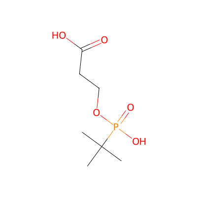 CC(C)(C)P(=O)(O)OCCC(=O)O